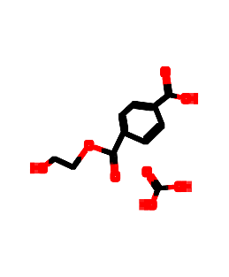 O=C(O)O.O=C(O)c1ccc(C(=O)OCCO)cc1